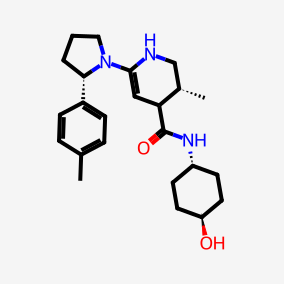 Cc1ccc([C@@H]2CCCN2C2=CC(C(=O)N[C@H]3CC[C@H](O)CC3)[C@@H](C)CN2)cc1